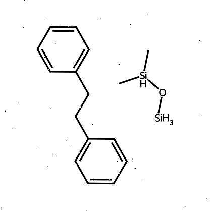 C[SiH](C)O[SiH3].c1ccc(CCc2ccccc2)cc1